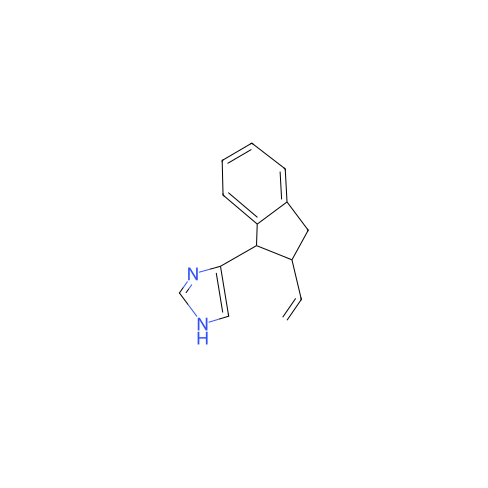 C=CC1Cc2ccccc2C1c1c[nH]cn1